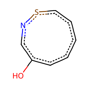 Oc1cccccsnc1